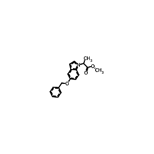 COC(=O)C(C)n1ccc2cc(OCc3ccccc3)ccc21